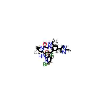 CC(=O)c1nn(CC(=O)N2C3C[C@]3(C)C[C@H]2C(=O)Nc2nc(Br)ccc2C)c2c(C(F)CF)cc(-c3cnc(C)nc3)cc12